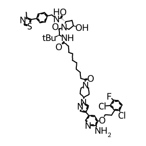 Cc1ncsc1-c1ccc(CNC(=O)[C@@H]2C[C@@H](O)CN2C(=O)[C@@H](NC(=O)CCCCCCCCC(=O)N2CCC(n3cc(-c4cnc(N)c(OCCc5c(Cl)ccc(F)c5Cl)c4)cn3)CC2)C(C)(C)C)cc1